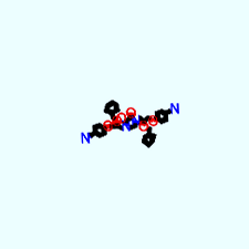 N#Cc1ccc(OCC(CN2CCN(CC(COc3ccc(C#N)cc3)OCc3ccccc3)C(=O)C2=O)OCc2ccccc2)cc1